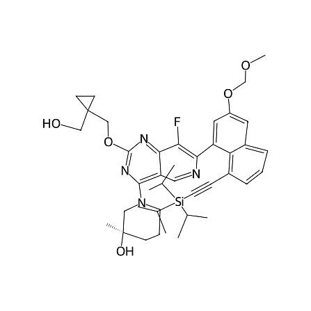 COCOc1cc(-c2ncc3c(N4CCC[C@@](C)(O)C4)nc(OCC4(CO)CC4)nc3c2F)c2c(C#C[Si](C(C)C)(C(C)C)C(C)C)cccc2c1